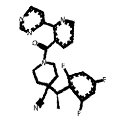 C[C@H](c1c(F)cc(F)cc1F)C1(C#N)CCN(C(=O)c2cccnc2-c2ccncn2)CC1